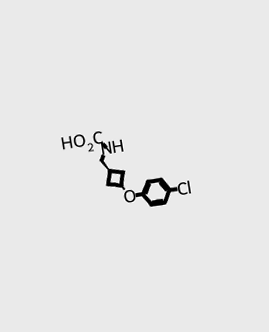 O=C(O)NC[C@H]1C[C@H](Oc2ccc(Cl)cc2)C1